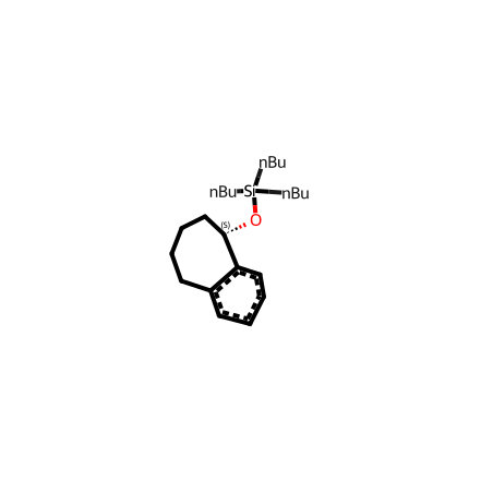 CCCC[Si](CCCC)(CCCC)O[C@H]1CCCCc2ccccc21